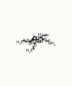 C=CCOC(=O)NC1(C(=O)N[C@@H](CC(C)C)C(=O)OCC=C)CCC2C(C(=O)OCC=C)C21